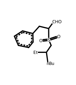 CCCCC(CC)CS(=O)(=O)C(C=O)Cc1ccccc1